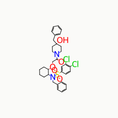 O=C(COC1CCCCC1N(Cc1ccccc1)S(=O)(=O)c1ccc(Cl)c(Cl)c1)N1CCC(O)(Cc2ccccc2)CC1